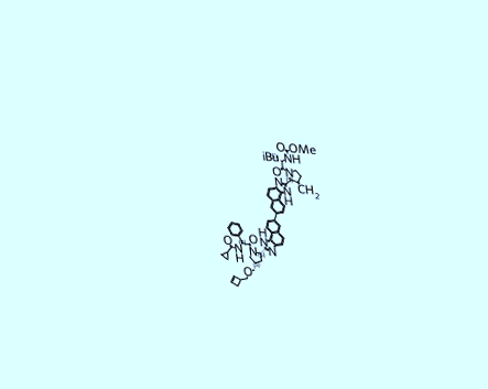 C=C1CCN(C(=O)C(NC(=O)OC)[C@@H](C)CC)[C@@H]1c1nc2ccc3cc(-c4ccc5c(ccc6nc([C@@H]7C[C@H](COCC8C=CC8)CN7C(=O)[C@H](NC(=O)C7CC7)c7ccccc7)[nH]c65)c4)ccc3c2[nH]1